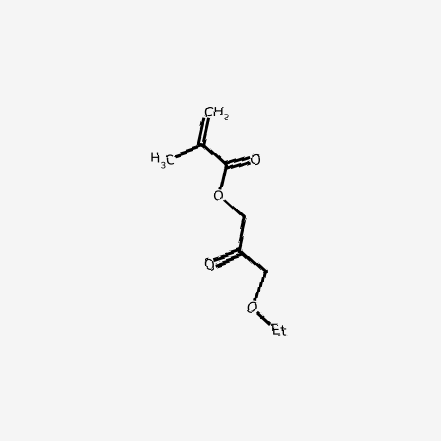 C=C(C)C(=O)OCC(=O)COCC